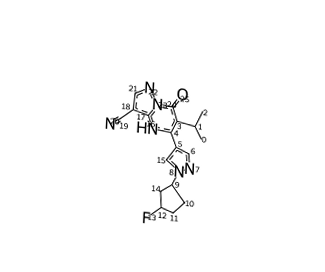 CC(C)c1c(-c2cnn(C3CCC(F)C3)c2)[nH]c2c(C#N)cnn2c1=O